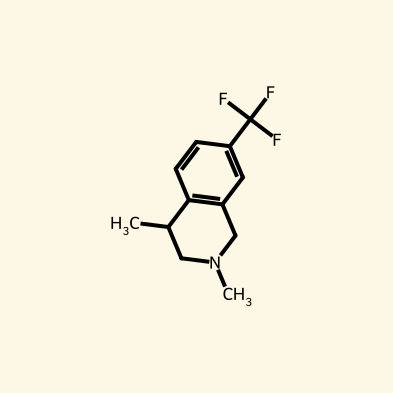 CC1CN(C)Cc2cc(C(F)(F)F)ccc21